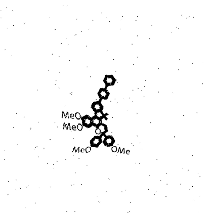 COc1ccc(C2(c3ccc(OC)cc3)C=Cc3c4c(c5cc(OC)c(OC)cc5c3O2)-c2ccc(-c3ccc(-c5ccccc5)cc3)cc2C4(C)C)cc1